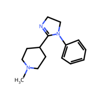 CN1CCC(C2=NCCN2c2ccccc2)CC1